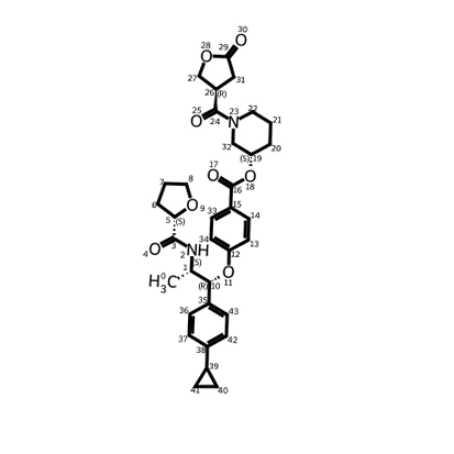 C[C@H](NC(=O)[C@@H]1CCCO1)[C@H](Oc1ccc(C(=O)O[C@H]2CCCN(C(=O)[C@H]3COC(=O)C3)C2)cc1)c1ccc(C2CC2)cc1